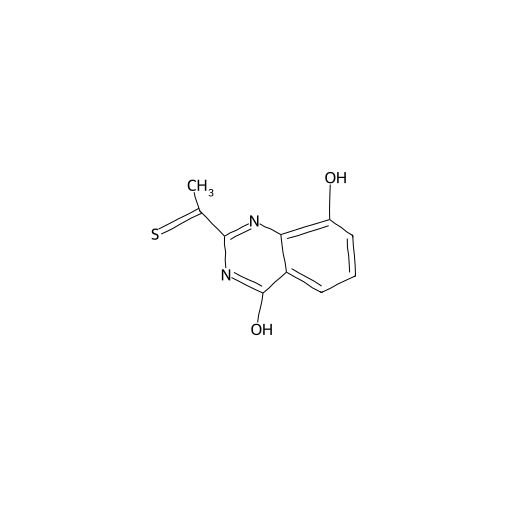 CC(=S)c1nc(O)c2cccc(O)c2n1